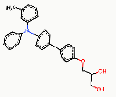 Cc1cccc(N(c2ccccc2)c2ccc(-c3ccc(OCC(O)CO)cc3)cc2)c1